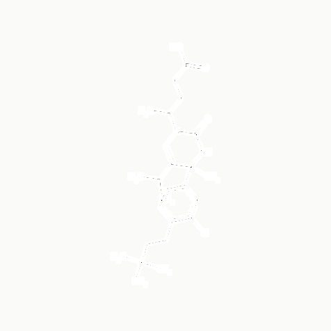 CC(C)C1=CN(C(C)CCC(=O)O)C(=O)NC1(C)c1ccc(CCC(C)(C)C)c(Cl)c1